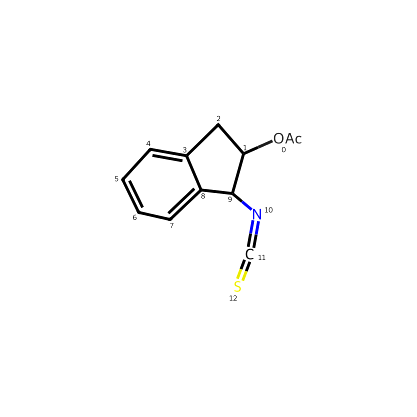 CC(=O)OC1Cc2ccccc2C1N=C=S